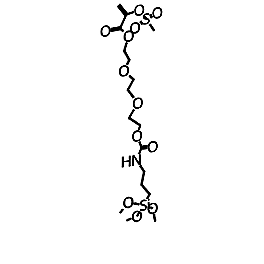 C=C(OS(C)(=O)=O)C(=O)OCCOCCOCCOC(=O)NCCC[Si](OC)(OC)OC